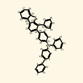 c1ccc(-c2ccc(N(c3ccccc3)c3ccc(-c4ccc5c(sc6ccccc65)c4-c4ccccc4)cc3)cc2)cc1